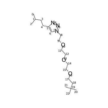 CC(C)CCc1cn(CCOCCOCCOCCC(C)(C)C)nn1